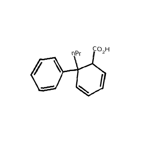 CCCC1(c2ccccc2)C=CC=CC1C(=O)O